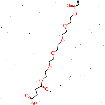 C=CC(=O)OCCOCCOCCOCCOCCOC(=O)CCC(=O)O